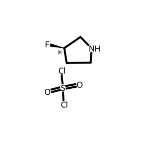 F[C@@H]1CCNC1.O=S(=O)(Cl)Cl